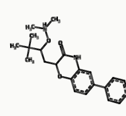 C[SiH](C)OC(CC1Oc2ccc(-c3ccccc3)cc2NC1=O)C(C)(C)C